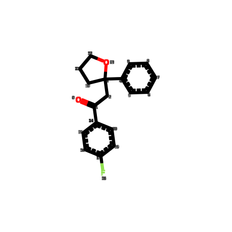 O=C(CC1(c2ccccc2)CCCO1)c1ccc(F)cc1